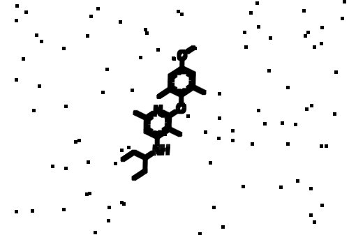 CCC(CC)Nc1cc(C)nc(Oc2c(C)cc(OC)cc2C)c1C